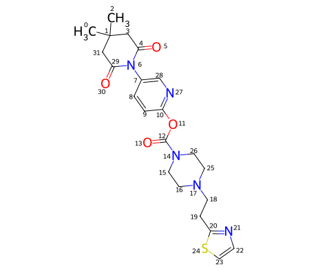 CC1(C)CC(=O)N(c2ccc(OC(=O)N3CCN(CCc4nccs4)CC3)nc2)C(=O)C1